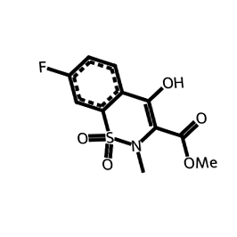 COC(=O)C1=C(O)c2ccc(F)cc2S(=O)(=O)N1C